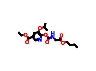 CCCCOC(=O)CNC(=O)Oc1ncc(C(=O)OCC)cc1OC(C)C